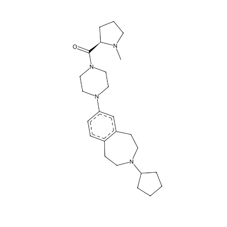 CN1CCC[C@@H]1C(=O)N1CCN(c2ccc3c(c2)CCN(C2CCCC2)CC3)CC1